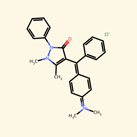 Cc1c(C(=C2C=CC(=[N+](C)C)C=C2)c2ccccc2)c(=O)n(-c2ccccc2)n1C.[Cl-]